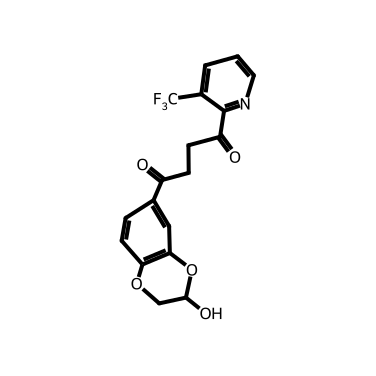 O=C(CCC(=O)c1ncccc1C(F)(F)F)c1ccc2c(c1)OC(O)CO2